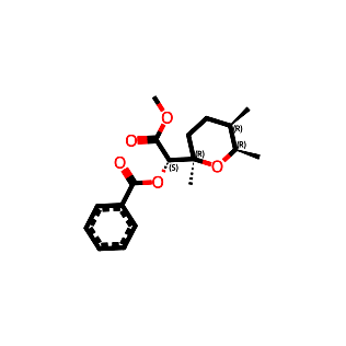 COC(=O)[C@@H](OC(=O)c1ccccc1)[C@@]1(C)CC[C@@H](C)[C@@H](C)O1